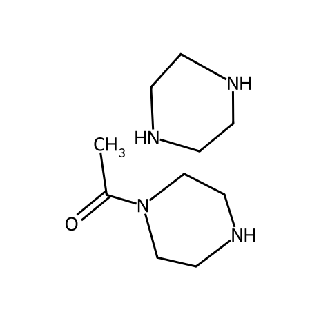 C1CNCCN1.CC(=O)N1CCNCC1